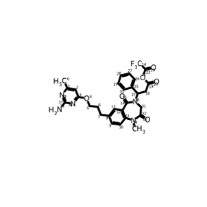 Cc1cc(OCCCc2ccc3c(c2)C(=O)N(C(CC(=O)OC(=O)C(F)(F)F)c2ccccc2)CC(=O)N3C)nc(N)n1